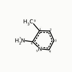 Cc1c[c]cnc1N